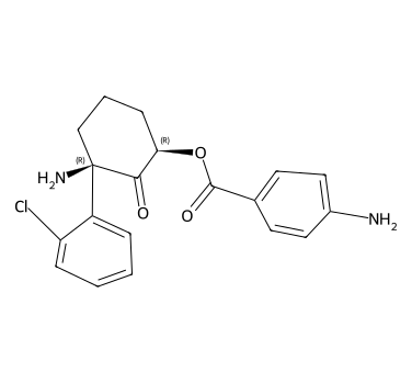 Nc1ccc(C(=O)O[C@@H]2CCC[C@@](N)(c3ccccc3Cl)C2=O)cc1